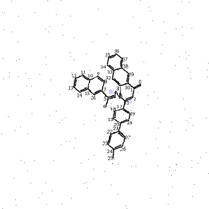 C=C(/C=C(\N=C(/C)c1ccc2ccccc2c1)c1ccc(-c2ccc(C)cc2)cc1)c1ccc2ccccc2c1